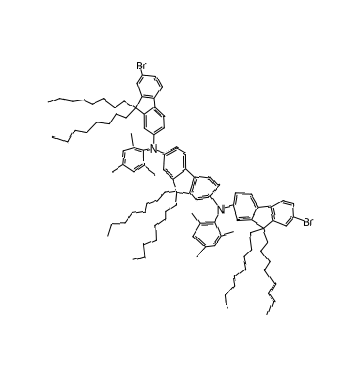 CCCCCCCCC1(CCCCCCCC)c2cc(Br)ccc2-c2ccc(N(c3ccc4c(c3)C(CCCCCCCC)(CCCCCCCC)c3cc(N(c5ccc6c(c5)C(CCCCCCCC)(CCCCCCCC)c5cc(Br)ccc5-6)c5c(C)cc(C)cc5C)ccc3-4)c3c(C)cc(C)cc3C)cc21